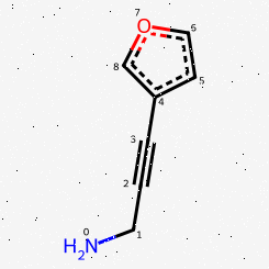 NCC#Cc1ccoc1